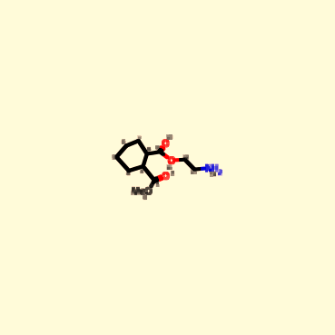 COC(=O)C1CCCCC1C(=O)OCCN